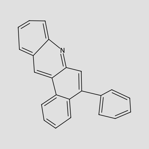 c1ccc(-c2cc3nc4ccccc4cc3c3ccccc23)cc1